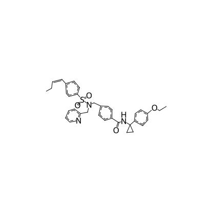 CC/C=C\c1ccc(S(=O)(=O)N(Cc2ccc(C(=O)NC3(c4ccc(OCC)cc4)CC3)cc2)Cc2ccccn2)cc1